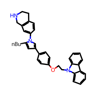 CCCCc1cc(-c2ccc(OCCn3c4ccccc4c4ccccc43)cc2)cn1-c1ccc2c(c1)CNCC2